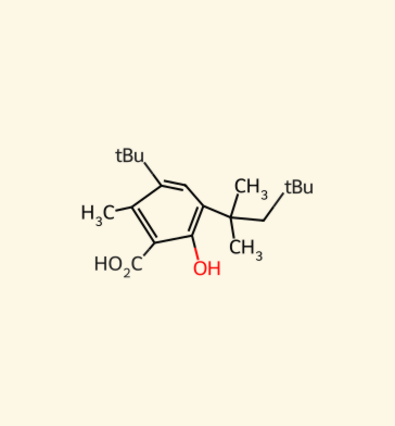 Cc1c(C(C)(C)C)cc(C(C)(C)CC(C)(C)C)c(O)c1C(=O)O